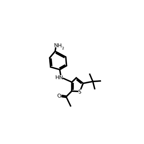 CC(=O)c1sc(C(C)(C)C)cc1Nc1ccc(N)cc1